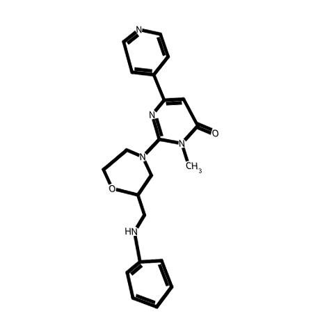 Cn1c(N2CCOC(CNc3ccccc3)C2)nc(-c2ccncc2)cc1=O